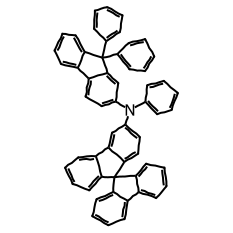 c1ccc(N(c2ccc3c(c2)-c2ccccc2C32c3ccccc3-c3ccccc32)c2ccc3c(c2)C(c2ccccc2)(c2ccccc2)c2ccccc2-3)cc1